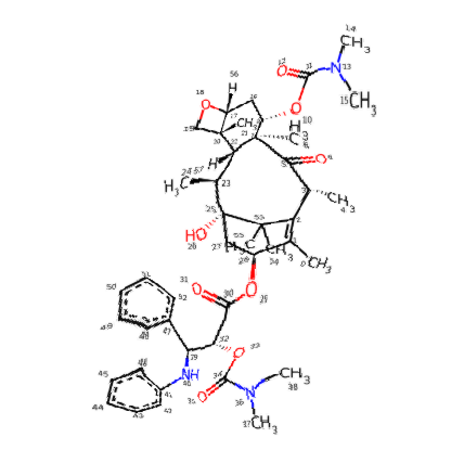 CC1=C2[C@@H](C)C(=O)[C@]3(C)[C@@H](OC(=O)N(C)C)C[C@H]4OC[C@@]4(C)[C@H]3[C@H](C)[C@](O)(C[C@@H]1OC(=O)[C@H](OC(=O)N(C)C)[C@@H](Nc1ccccc1)c1ccccc1)C2(C)C